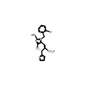 CCCCc1nc(C(F)(F)F)c(/C=C(\Cc2cccs2)C(=O)O)n1Cc1ccccc1Cl